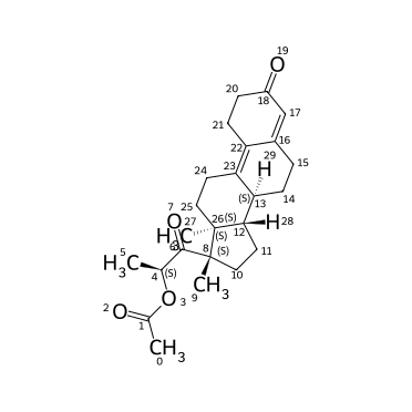 CC(=O)O[C@@H](C)C(=O)[C@@]1(C)CC[C@H]2[C@@H]3CCC4=CC(=O)CCC4=C3CC[C@@]21C